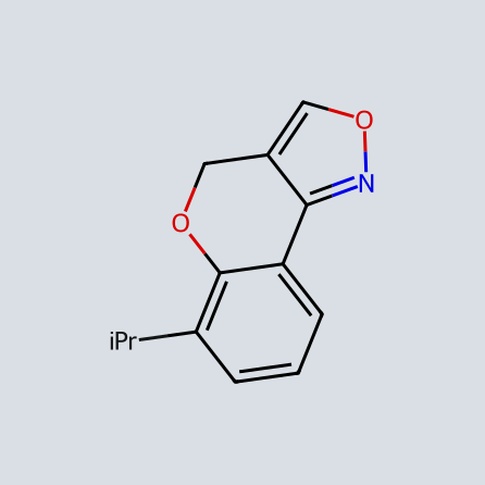 CC(C)c1cccc2c1OCc1conc1-2